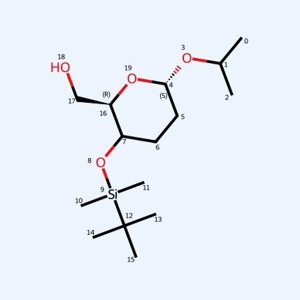 CC(C)O[C@@H]1CCC(O[Si](C)(C)C(C)(C)C)[C@@H](CO)O1